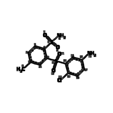 Cc1ccc(S(N)(=O)=O)c(S(=O)(=O)c2cc(N)ccc2Cl)c1